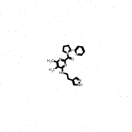 Cc1nc(C(=O)N2CCC[C@@H]2c2ccccn2)nc(NCCc2cn[nH]c2)c1C